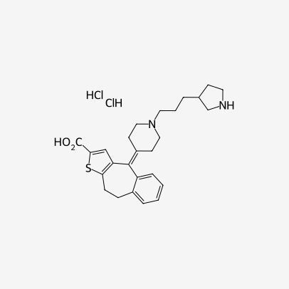 Cl.Cl.O=C(O)c1cc2c(s1)CCc1ccccc1C2=C1CCN(CCCC2CCNC2)CC1